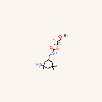 CCOC[C@@H](C)C(C)(C)OC(=O)NCC1CC(C)(C)CC(C)(N)C1